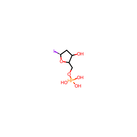 OC1C[C@H](I)OC1CO[PH](O)(O)O